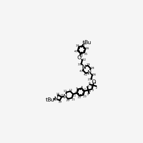 CC(C)(CC(C)(C)c1ccc(C2CCN(C3CN(C(C)(C)C)C3)CC2)cc1)OCCN1CCN(CCOc2ccc(C(C)(C)C)cc2)CC1